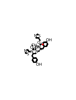 CCN(CC(Cc1ccc(O)cc1)N(C(=O)OC)c1cncs1)C[C@H](Cc1ccc(O)cc1)NC(=O)OCc1cncs1